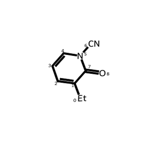 CCc1cccn(C#N)c1=O